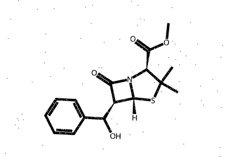 COC(=O)[C@@H]1N2C(=O)[C@H](C(O)c3ccccc3)[C@H]2SC1(C)C